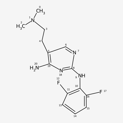 CN(C)CCc1cnc(Nc2c(F)cccc2F)nc1N